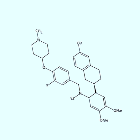 CCN(Cc1ccc(OC2CCN(C)CC2)c(F)c1)C1C=C(OC)C(OC)=CC1[C@@H]1CCc2cc(O)ccc2C1